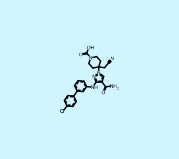 N#CCC1(n2cc(C(N)=O)c(Nc3cccc(-c4ccc(Cl)cc4)c3)n2)CCN(C(=O)O)CC1